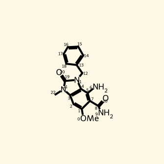 COc1cc2c(c(N)c1C(N)=O)n(Cc1ccccc1)c(=O)n2C